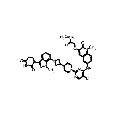 CNC(=O)COc1cc2cc(Nc3nc(N4CCC(C5CN(c6cccc7c(C8CCC(=O)NC8=O)nn(C)c67)C5)CC4)ncc3Cl)ccc2n(C)c1=O